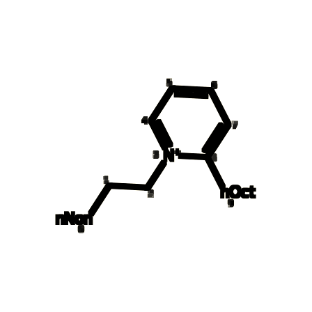 CCCCCCCCCCC[n+]1ccccc1CCCCCCCC